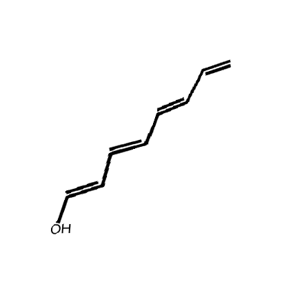 C=C/C=C/C=C/C=C/O